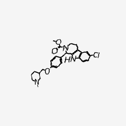 COC(=O)N1CCc2c([nH]c3ccc(Cl)cc23)C1c1ccc(OCC2CCCN(C)C2)cc1